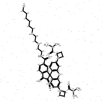 CN(C)C(=O)[C@@H]1CCN1c1ccc2c(c1)Oc1cc(N3CC[C@H]3C(=O)N(C)C)ccc1C21C(=[N+]=[N-])C(=O)c2ccc(C(=O)NCCOCCOCCCCCCCl)cc21